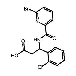 O=C(O)CC(NC(=O)c1cccc(Br)n1)c1ccccc1Cl